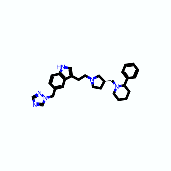 c1ccc(C2CCCCN2C[C@@H]2CCN(CCc3c[nH]c4ccc(Cn5cncn5)cc34)C2)cc1